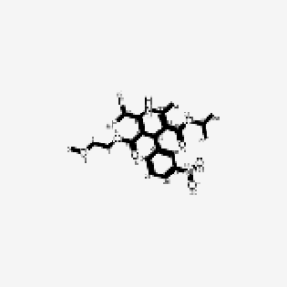 COCCOC(=O)C1=C(C(F)F)NC(C)=C(C(=O)OC(C)C)C1c1cccc([N+](=O)[O-])c1